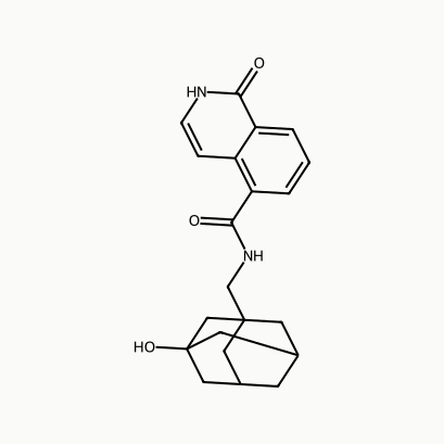 O=C(NCC12CC3CC(CC(O)(C3)C1)C2)c1cccc2c(=O)[nH]ccc12